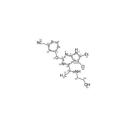 CCc1[nH]c2nc(Oc3cccc(C#N)c3)nc(C(C)NCCO)c2c1Cl